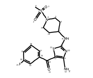 CS(=O)(=O)N1CCC(Nc2nc(N)c(C(=O)c3cccc(F)c3)s2)CC1